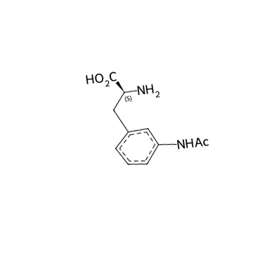 CC(=O)Nc1cccc(C[C@H](N)C(=O)O)c1